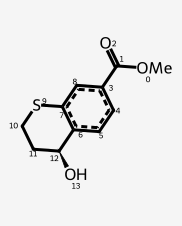 COC(=O)c1ccc2c(c1)SCC[C@@H]2O